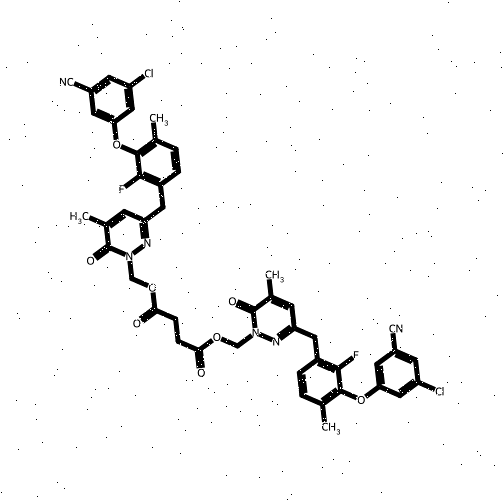 Cc1ccc(Cc2cc(C)c(=O)n(COC(=O)CCC(=O)OCn3nc(Cc4ccc(C)c(Oc5cc(Cl)cc(C#N)c5)c4F)cc(C)c3=O)n2)c(F)c1Oc1cc(Cl)cc(C#N)c1